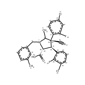 Cc1cccc(CN2C(C)[C@](C#N)(c3ccc(Cl)cc3F)[C@@H](c3cccc(Cl)c3F)[C@@H]2C(=O)O)c1